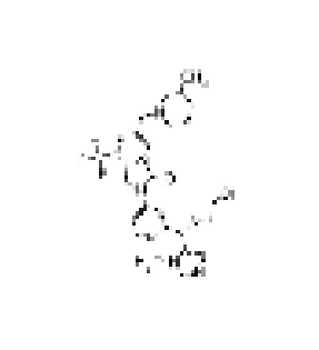 C[C@H]1CCCN(Cc2cc(C(F)(F)F)c3cn(-c4cccc([C@@H](c5nncn5C)N5CC(O)C5)c4)c(=O)n3c2)C1